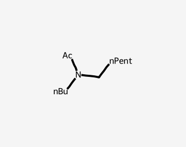 CCCCCCN(CCCC)C(C)=O